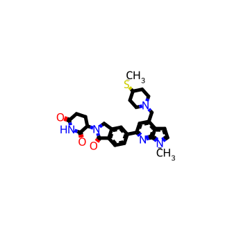 CSC1CCN(Cc2cc(-c3ccc4c(c3)CN(C3CCC(=O)NC3=O)C4=O)nc3c2ccn3C)CC1